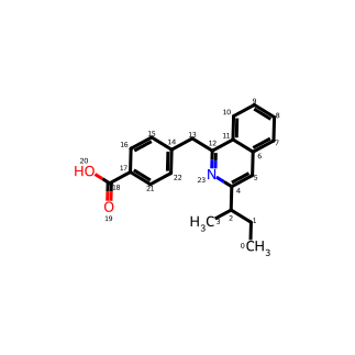 CCC(C)c1cc2ccccc2c(Cc2ccc(C(=O)O)cc2)n1